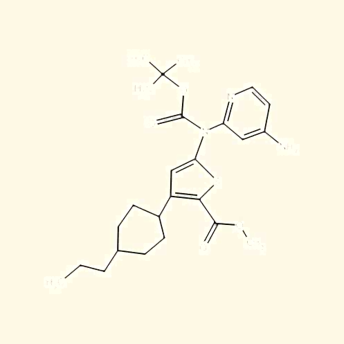 CCCC1CCC(c2cc(N(C(=O)OC(C)(C)C)c3cc(N)ccn3)sc2C(=O)OC)CC1